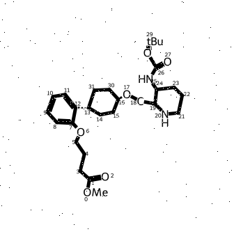 COC(=O)CCCOc1ccccc1[C@H]1CC[C@@H](OCC2NCCCC2NC(=O)OC(C)(C)C)CC1